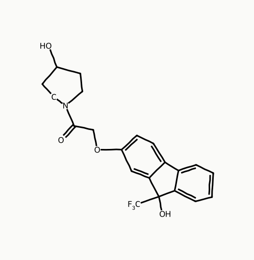 O=C(COc1ccc2c(c1)C(O)(C(F)(F)F)c1ccccc1-2)N1CCC(O)CC1